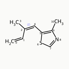 C=C/C(C)=C\c1scnc1C